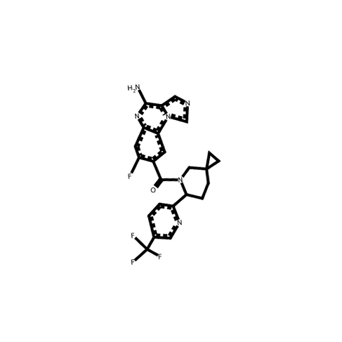 Nc1nc2cc(F)c(C(=O)N3CC4(CCC3c3ccc(C(F)(F)F)cn3)CC4)cc2n2cncc12